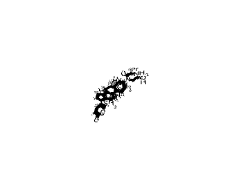 CC(C)[C@@H](N)C(=O)N(CCO)[C@H]1CC[C@@]2(C)[C@H](CC[C@@H]3[C@@H]2CC[C@]2(C)[C@@H](c4ccc(=O)oc4)CC[C@]32O)C1